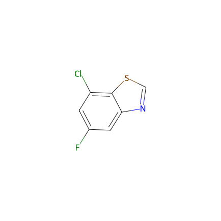 Fc1cc(Cl)c2scnc2c1